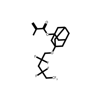 C=C(C)C(=O)OC12CC3CC(CC(OCC(F)(F)CC(F)(F)CC(F)(F)F)(C3)C1)C2